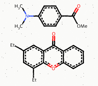 CCc1cc(CC)c2oc3ccccc3c(=O)c2c1.COC(=O)c1ccc(N(C)C)cc1